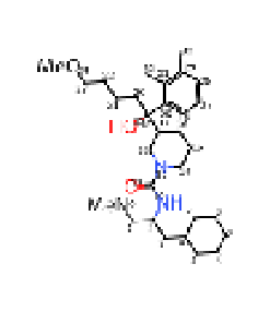 CNCC(CC1CCCCC1)NC(=O)N1CCCC(C(O)(CCCCOC)c2cccc(C)c2C)C1